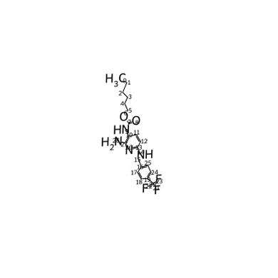 CCCCCCOC(=O)Nc1ccc(NCc2ccc(C(F)(F)F)cc2)nc1N